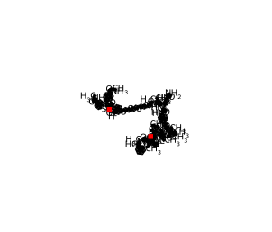 CCC(C)[C@@H]([C@@H](CC(=O)N1CCC[C@H]1[C@H](OC)[C@@H](C)C(=O)N[C@H](C)[C@@H](O)c1ccccc1)OC)N(C)C(=O)[C@@H](NC(=O)[C@H](C(C)C)N(C)C(=O)OCc1ccc(NC(=O)[C@H](CCCNC(N)=O)NC(=O)[C@@H](NC(=O)COCCOCCOCCOc2ccc(N3C(=O)C(Sc4ccc(C(=O)NC)cc4)=C(Sc4ccc(C(=O)NC)cc4)C3=O)c(C(F)(F)F)c2)C(C)C)cc1)C(C)C